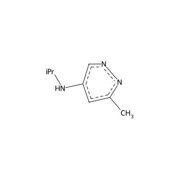 Cc1cc(NC(C)C)cnn1